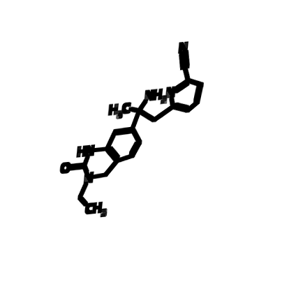 CCN1Cc2ccc(C(C)(N)Cc3cccc(C#N)n3)cc2NC1=O